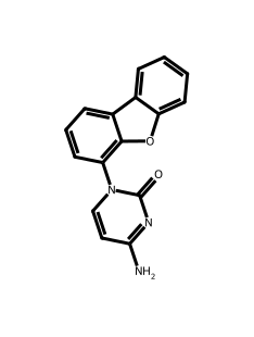 Nc1ccn(-c2cccc3c2oc2ccccc23)c(=O)n1